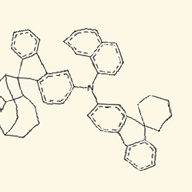 c1ccc2c(c1)-c1ccc(N(c3ccc4c(c3)-c3ccccc3C43C4CC5CCCC3C(C5)C4)c3cccc4ccccc34)cc1C21CCCCC1